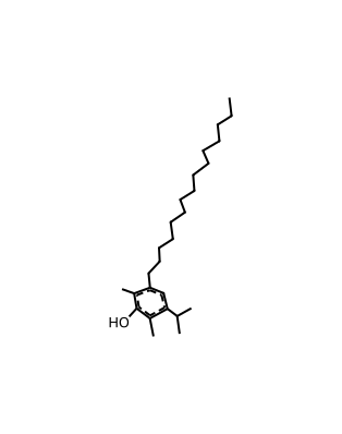 CCCCCCCCCCCCCCCc1cc(C(C)C)c(C)c(O)c1C